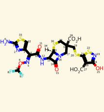 Nc1nc(C(=NOC(F)F)C(=O)NC2C(=O)N3CC(CSc4snc(O)c4C(=O)O)(C(=O)O)CS[C@H]23)cs1